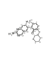 Cc1ccn(CC2CCCCC2)c(=O)c1-c1ccc2nc(N)ncc2c1